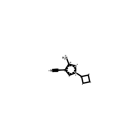 N#Cc1cn(C2CCC2)nc1N